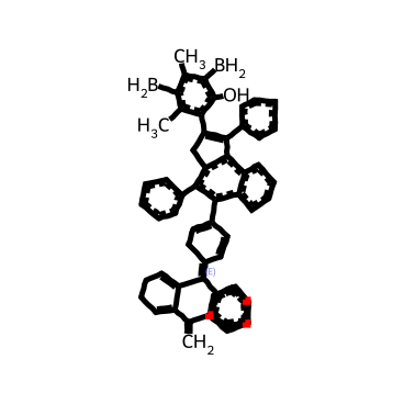 Bc1c(C)c(B)c(O)c(C2=C(c3ccccc3)c3c(c(-c4ccccc4)c(C4=CC/C(=C(\C5=CCCC=C5C(=C)c5ccccc5)c5ccccc5)C=C4)c4ccccc34)C2)c1C